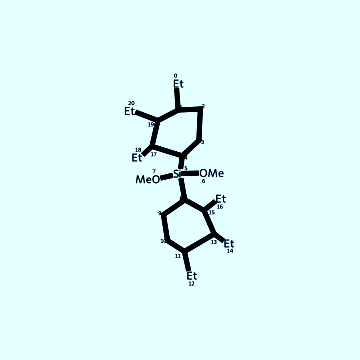 CCC1CCC([Si](OC)(OC)C2CCC(CC)C(CC)C2CC)C(CC)C1CC